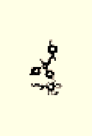 COC(=O)[C@H]1O[C@@H](Oc2ccc([C@@H]3C(CC[C@H](O)c4ccc(F)cc4)C(=O)N3c3ccc(I)cc3)cc2)C(O)[C@@H](O)[C@@H]1O